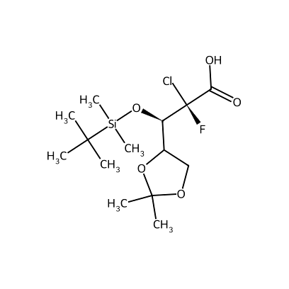 CC1(C)OCC([C@@H](O[Si](C)(C)C(C)(C)C)[C@](F)(Cl)C(=O)O)O1